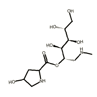 CNC[C@H](OC(=O)C1CC(O)CN1)[C@@H](O)[C@H](O)[C@H](O)CO